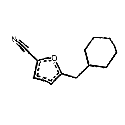 N#Cc1ccc(CC2CCCCC2)o1